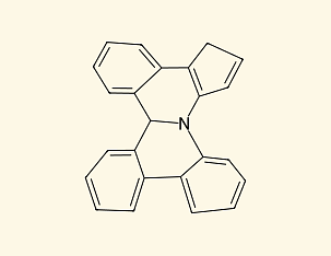 C1=CC2=C(C1)c1ccccc1C1c3ccccc3-c3ccccc3N21